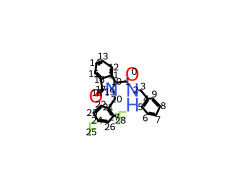 O=C(NCc1ccccc1)C1c2ccccc2C(=O)N1Cc1ccc(F)cc1F